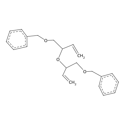 C=CC(COCc1ccccc1)OC(C=C)COCc1ccccc1